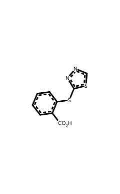 O=C(O)c1ccccc1Sc1nncs1